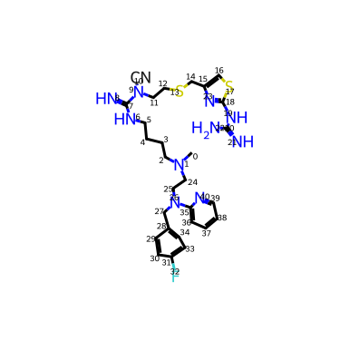 CN(CCCCNC(=N)N(C#N)CCSCc1csc(NC(=N)N)n1)CCN(Cc1ccc(F)cc1)c1ccccn1